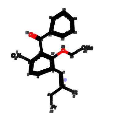 CC/C(=C/c1ccc([N+](=O)[O-])c(C(=O)c2ccccc2)c1OCOC)CC(C)C